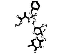 Cc1cn([C@@H]2O[C@H](COP(=O)(NC(C)C(=O)OC(C)C)Oc3ccccc3)[C@@H](O)[C@@]2(F)Cl)c(=O)[nH]c1=O